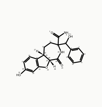 NC(=O)C1(C(O)c2ccccc2)CC[C@H]2c3ccc(O)cc3O[C@H]2C(=O)N1